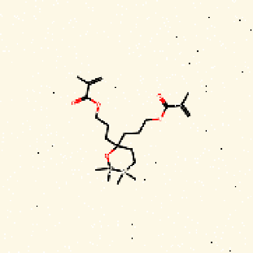 C=C(C)C(=O)OCCCC1(CCCOC(=O)C(=C)C)CC[Si](C)(C)[Si](C)(C)O1